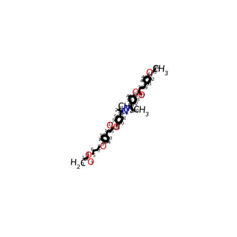 C=CC(=O)OCCCCOc1ccc(/C=C/C(=O)Oc2ccc(/C(CC)=N/N=C(\CC)c3ccc(OC(=O)/C=C/c4ccc(OCC)cc4)cc3)cc2)cc1